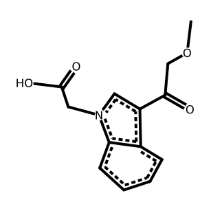 COCC(=O)c1cn(CC(=O)O)c2ccccc12